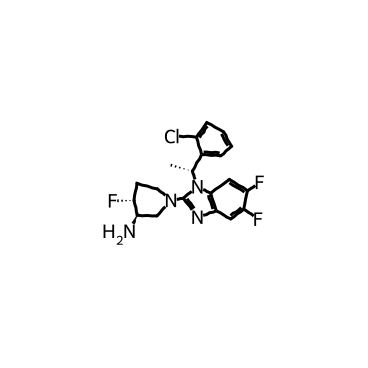 C[C@H](c1ccccc1Cl)n1c(N2CC[C@@H](F)[C@H](N)C2)nc2cc(F)c(F)cc21